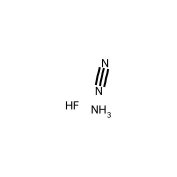 F.N.N#N